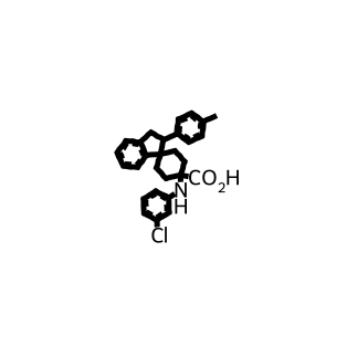 Cc1ccc(C2Cc3ccccc3C23CCC(Nc2cccc(Cl)c2)(C(=O)O)CC3)cc1